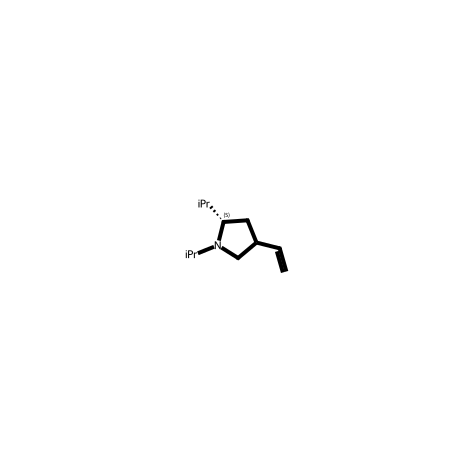 C=CC1C[C@@H](C(C)C)N(C(C)C)C1